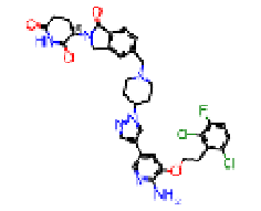 Nc1ncc(-c2cnn(C3CCN(Cc4ccc5c(c4)CN([C@@H]4CCC(=O)NC4=O)C5=O)CC3)c2)cc1OCCc1c(Cl)ccc(F)c1Cl